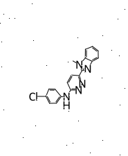 Cn1c(-c2ccc(Nc3ccc(Cl)cc3)nn2)nc2ccccc21